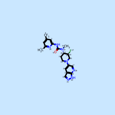 Cc1cc(C(F)(F)F)cc(NC(=O)N(C)[C@H]2CCN(c3cnc4[nH]ncc4c3)C[C@@H]2F)n1